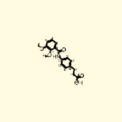 COc1cccc(C(=O)Nc2ccc(CCC(=O)O)cc2)c1OC